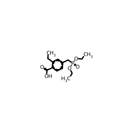 CCOP(=O)(Cc1ccc(C(=O)O)c(CC)c1)OCC